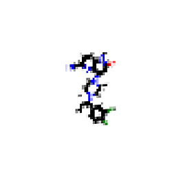 CCC(c1ccc(F)c(F)c1)N1C[C@H](C)N(c2cc(=O)n(C)c3ccc(C#N)nc23)C[C@H]1C